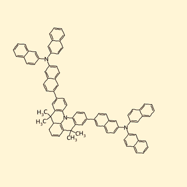 CC1(C)C2=C3C(CC=C2)C(C)(C)c2cc(-c4ccc5cc(N(c6ccc7ccccc7c6)c6ccc7ccccc7c6)ccc5c4)ccc2N3c2ccc(-c3ccc4cc(N(c5ccc6ccccc6c5)c5ccc6ccccc6c5)ccc4c3)cc21